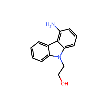 Nc1cccc2c1c1ccccc1n2CCO